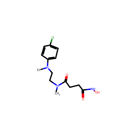 CCN(CCN(C)C(=O)CCC(=O)NO)c1ccc(Cl)cc1